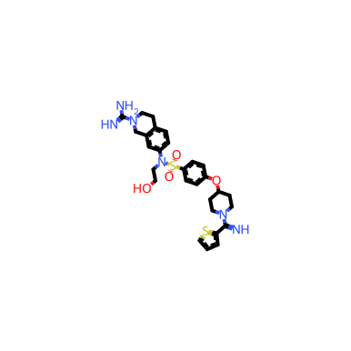 N=C(N)N1CCc2ccc(N(CCO)S(=O)(=O)c3ccc(OC4CCN(C(=N)c5cccs5)CC4)cc3)cc2C1